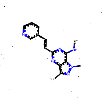 CCCc1nn(C)c2c(NC(C)C)nc(/C=C/c3cccnc3)nc12